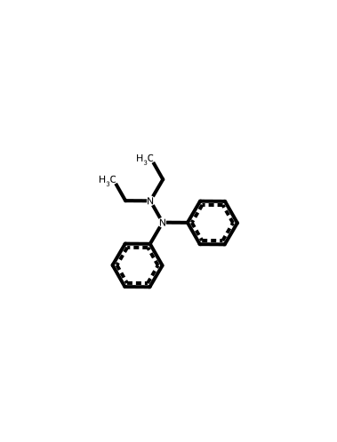 CCN(CC)N(c1ccccc1)c1ccccc1